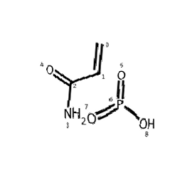 C=CC(N)=O.O=P(=O)O